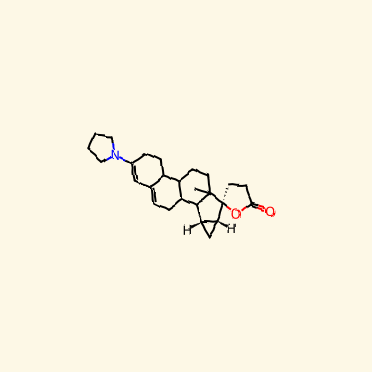 CC12CCC3C4CCC(N5CCCC5)=CC4=CCC3C1[C@H]1C[C@H]1[C@@]21CCC(=O)O1